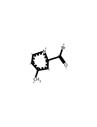 Cc1ccnc(C(=O)Br)c1